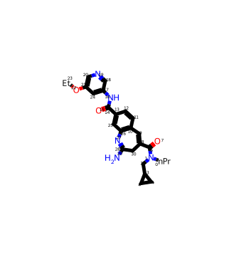 CCCN(CC1CC1)C(=O)C1=Cc2ccc(C(=O)Nc3cncc(OCC)c3)cc2N=C(N)C1